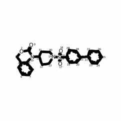 O=C1OCc2ccccc2N1C1CCN(S(=O)(=O)c2ccc(-c3ccccc3)cc2)CC1